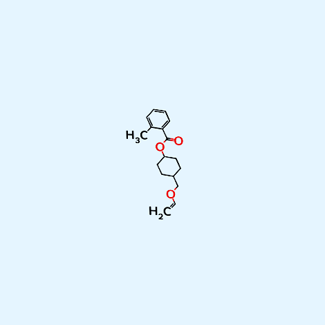 C=COCC1CCC(OC(=O)c2ccccc2C)CC1